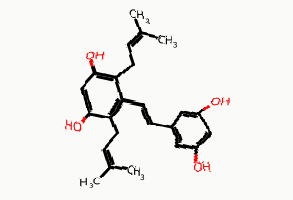 CC(C)=CCc1c(O)cc(O)c(CC=C(C)C)c1/C=C/c1cc(O)cc(O)c1